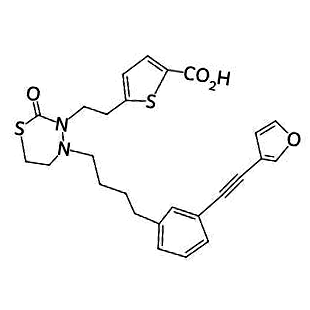 O=C(O)c1ccc(CCN2C(=O)SCCN2CCCCc2cccc(C#Cc3ccoc3)c2)s1